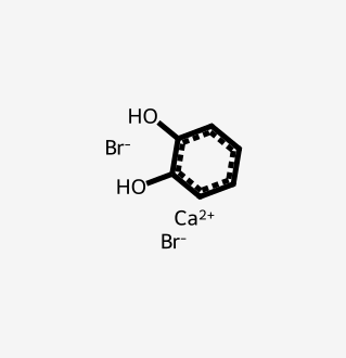 Oc1ccccc1O.[Br-].[Br-].[Ca+2]